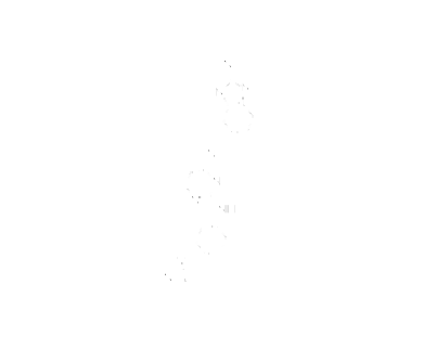 CCn1c(NC)nc2cc(CNc3ccnc(Nc4ccc(CS(N)(=O)=O)cc4)n3)ccc21